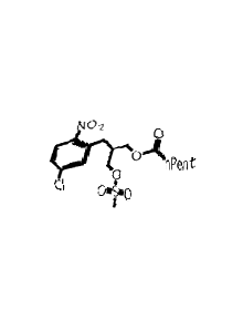 CCCCCC(=O)OC[C@@H](COS(C)(=O)=O)Cc1cc(Cl)ccc1[N+](=O)[O-]